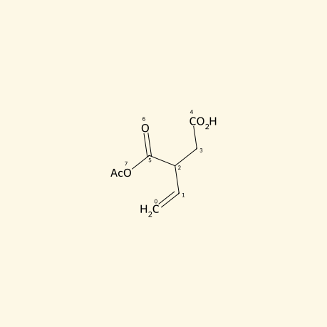 C=CC(CC(=O)O)C(=O)OC(C)=O